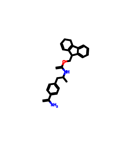 C=C(NC(C)Cc1ccc(C(=C)N)cc1)OCC1C2=C(CCC=C2)c2ccccc21